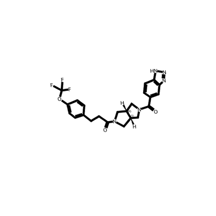 O=C(CCc1ccc(OC(F)(F)F)cc1)N1C[C@@H]2CN(C(=O)c3ccc4[nH]nnc4c3)C[C@@H]2C1